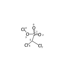 O=S(=O)(OCl)C(Cl)Cl